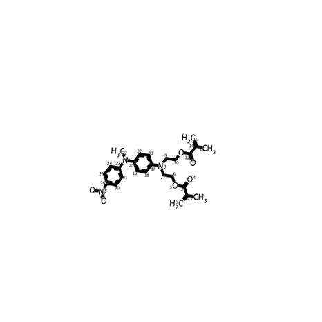 C=C(C)C(=O)OCCN(CCOC(=O)C(=C)C)c1ccc(N(C)c2ccc([N+](=O)[O-])cc2)cc1